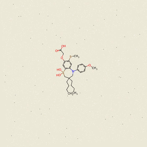 CCCCC1(CCCC)CN(c2ccc(OC)cc2)c2cc(SC)c(OCC(=O)O)cc2S(O)(O)C1